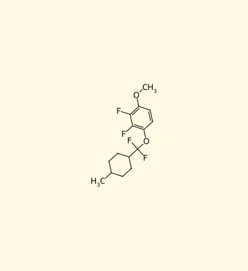 COc1ccc(OC(F)(F)C2CCC(C)CC2)c(F)c1F